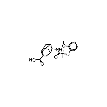 COc1ccccc1OC(C)(C)C(=O)NC1C2CC3CC1CC(C(=O)O)(C3)C2